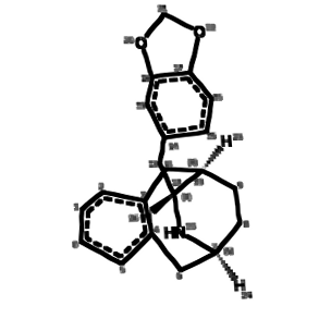 c1ccc2c(c1)C[C@@H]1CC[C@H](C2)[C@@H](Cc2ccc3c(c2)OCO3)N1